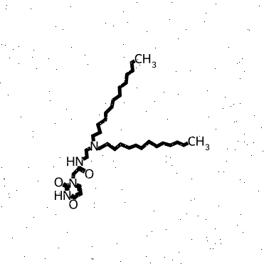 CCCCCCCCCCCCCCN(CCCCCCCCCCCCCC)CCNC(=O)Cn1ccc(=O)[nH]c1=O